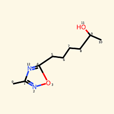 Cc1noc(CCCCC(C)O)n1